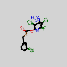 Nc1c(Cl)c(F)nc(OCC(=O)SCc2cccc(Br)c2)c1Cl